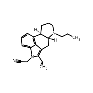 C=Cc1c2c3c(cccc3n1CC#N)[C@H]1CCCN(CCC)[C@@H]1C2